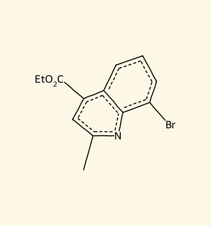 CCOC(=O)c1cc(C)nc2c(Br)cccc12